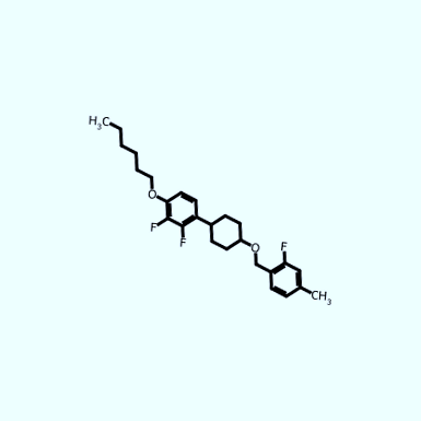 CCCCCCOc1ccc(C2CCC(OCc3ccc(C)cc3F)CC2)c(F)c1F